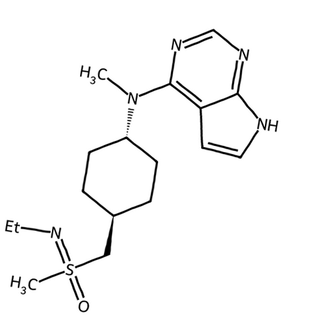 CCN=S(C)(=O)C[C@H]1CC[C@H](N(C)c2ncnc3[nH]ccc23)CC1